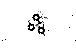 CC(=O)Oc1c(C(=O)Nc2ccc(F)cc2F)cccc1C(F)(F)F.Clc1ccccc1